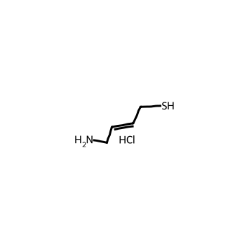 Cl.NCC=CCS